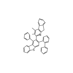 Cc1c(-c2c(-c3ccccc3-c3ccccc3)cc3sc4ccccc4c3c2-c2ccccc2)nc2c(c1C)-c1ccccc1C2